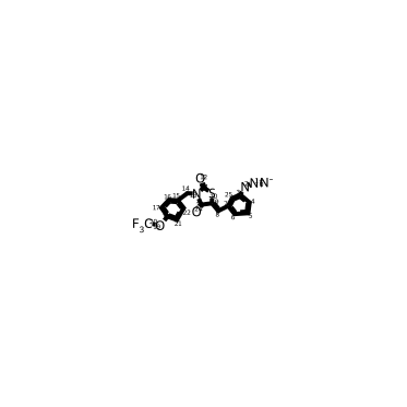 [N-]=[N+]=Nc1cccc(/C=C2\SC(=O)N(Cc3ccc(OC(F)(F)F)cc3)C2=O)c1